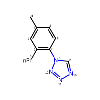 CCCc1cc(C)ccc1-n1cnnn1